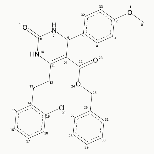 COc1ccc(C2NC(=O)NC(CCc3ccccc3Cl)=C2C(=O)OCc2ccccc2)cc1